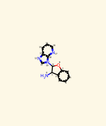 NC1c2ccccc2OC1n1cnc2cccnc21